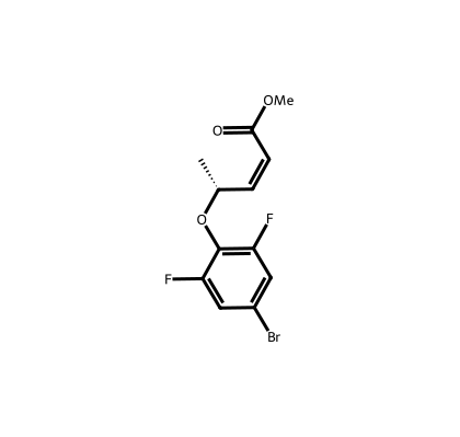 COC(=O)/C=C\[C@@H](C)Oc1c(F)cc(Br)cc1F